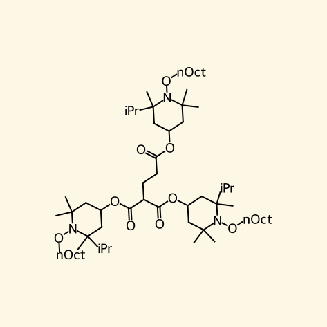 CCCCCCCCON1C(C)(C)CC(OC(=O)CCC(C(=O)OC2CC(C)(C)N(OCCCCCCCC)C(C)(C(C)C)C2)C(=O)OC2CC(C)(C)N(OCCCCCCCC)C(C)(C(C)C)C2)CC1(C)C(C)C